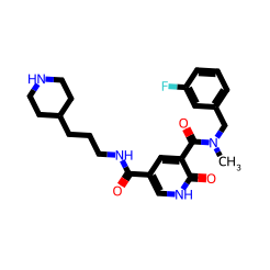 CN(Cc1cccc(F)c1)C(=O)c1cc(C(=O)NCCCC2CCNCC2)c[nH]c1=O